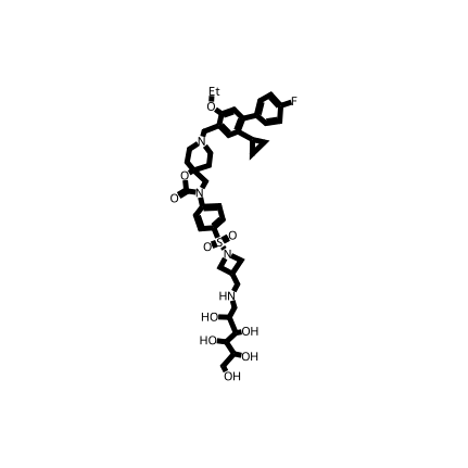 CCOc1cc(-c2ccc(F)cc2)c(C2CC2)cc1CN1CCC2(CC1)CN(c1ccc(S(=O)(=O)N3CC(CNCC(O)C(O)C(O)C(O)CO)C3)cc1)C(=O)O2